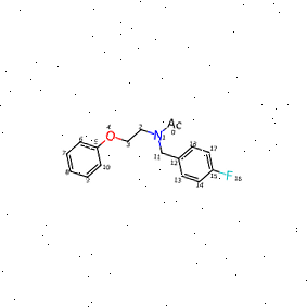 CC(=O)N(CCOc1ccccc1)Cc1ccc(F)cc1